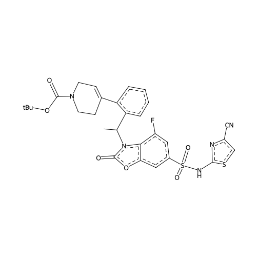 CC(c1ccccc1C1=CCN(C(=O)OC(C)(C)C)CC1)n1c(=O)oc2cc(S(=O)(=O)Nc3nc(C#N)cs3)cc(F)c21